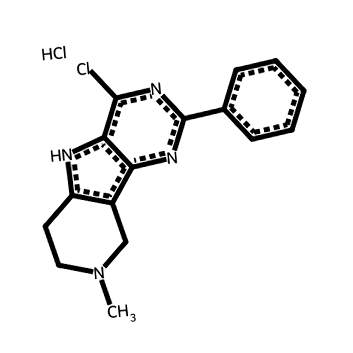 CN1CCc2[nH]c3c(Cl)nc(-c4ccccc4)nc3c2C1.Cl